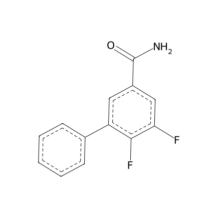 NC(=O)c1cc(F)c(F)c(-c2ccccc2)c1